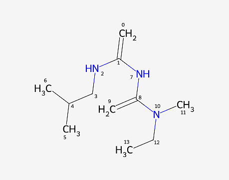 C=C(NCC(C)C)NC(=C)N(C)CC